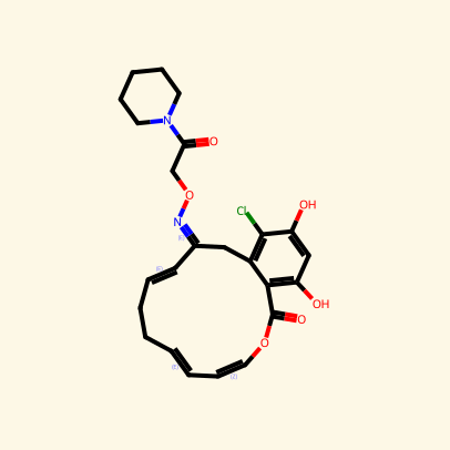 O=C1O/C=C\C=C\CC/C=C/C(=N/OCC(=O)N2CCCCC2)Cc2c(Cl)c(O)cc(O)c21